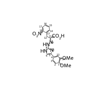 COc1ccc(-c2c[nH]c(N/N=C(\Cc3ccccc3[N+](=O)[O-])C(=O)O)n2)cc1OC